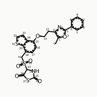 Cc1oc(-c2ccccc2)nc1CCOc1ccc(CS(=O)(=O)C2NC(=O)SC2=O)c2sccc12